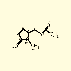 CC(=O)NCC1CCC(=O)N1C